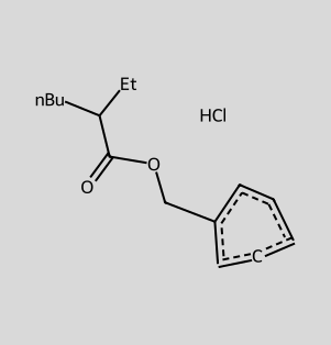 CCCCC(CC)C(=O)OCc1ccccc1.Cl